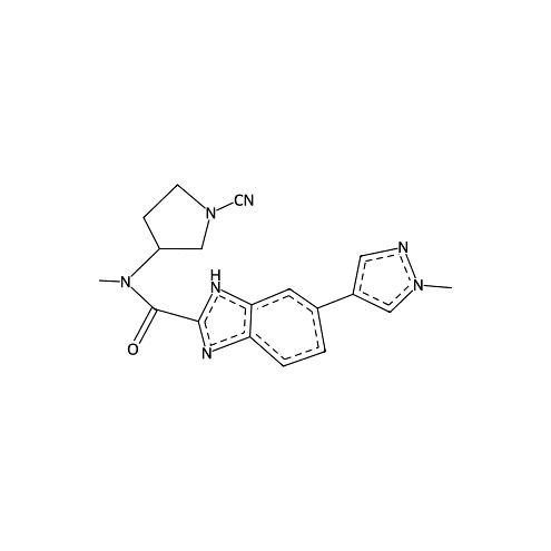 CN(C(=O)c1nc2ccc(-c3cnn(C)c3)cc2[nH]1)C1CCN(C#N)C1